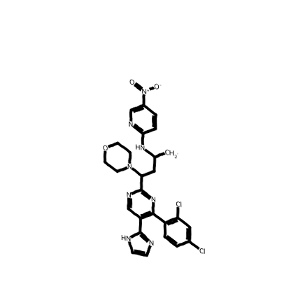 [CH2]C(CC(c1ncc(-c2ncc[nH]2)c(-c2ccc(Cl)cc2Cl)n1)N1CCOCC1)Nc1ccc([N+](=O)[O-])cn1